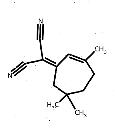 CC1=CC(=C(C#N)C#N)CC(C)(C)CC1